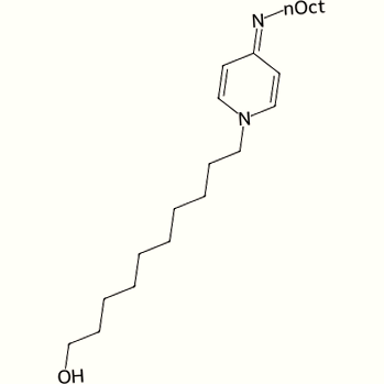 CCCCCCCCN=c1ccn(CCCCCCCCCCO)cc1